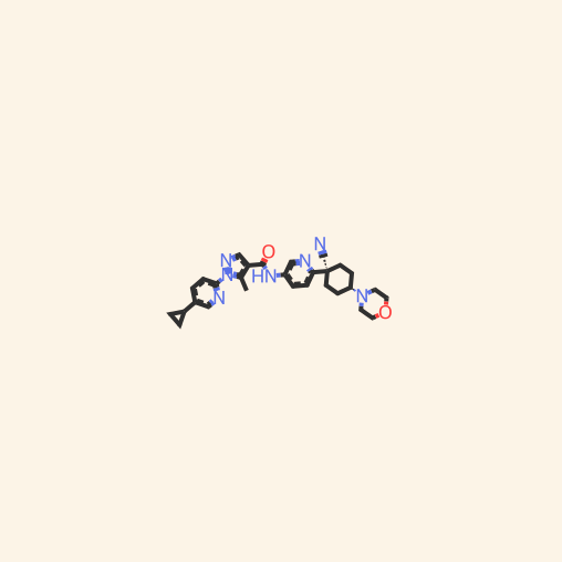 Cc1c(C(=O)Nc2ccc([C@]3(C#N)CC[C@@H](N4CCOCC4)CC3)nc2)cnn1-c1ccc(C2CC2)cn1